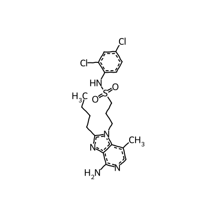 CCCCc1nc2c(N)ncc(C)c2n1CCCS(=O)(=O)Nc1ccc(Cl)cc1Cl